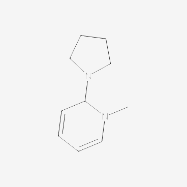 CN1C=CC=CC1N1CCCC1